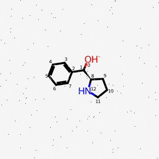 OC(c1ccccc1)[C@H]1CCCN1